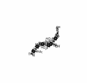 CCN(CC)c1ccc(/N=N/c2ccc(NS(=O)(=O)c3ccc(/N=N/c4c(S(=O)(=O)O)cc5cc(SOOO)c(/N=N/c6ccc(S(=O)(=O)CCOSOOO)cc6S(=O)(=O)O)c(N)c5c4O)cc3)cc2)c(NC(C)=O)c1